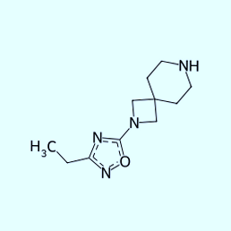 CCc1noc(N2CC3(CCNCC3)C2)n1